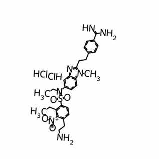 CCc1c(S(=O)(=O)N(CC)c2ccc3c(c2)nc(CCc2ccc(C(=N)N)cc2)n3C)ccc(CCN)c1[N+](=O)[O-].Cl.Cl